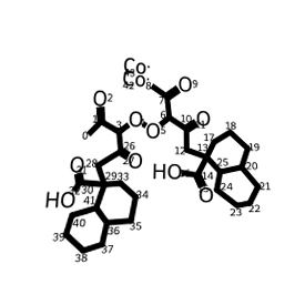 CC(=O)C(OOC(C(C)=O)C(=O)CC1(C(=O)O)CCCC2CCCCC21)C(=O)CC1(C(=O)O)CCCC2CCCCC21.[Co].[Co]